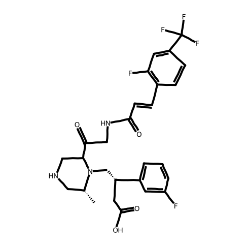 C[C@@H]1CNCC(C(=O)CNC(=O)/C=C/c2ccc(C(F)(F)F)cc2F)N1C[C@@H](CC(=O)O)c1cccc(F)c1